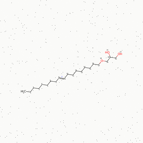 CCCCCCCC/C=C/CCCCCCCCOCC(O)CO